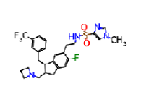 Cn1cnc(S(=O)(=O)NCCc2cc3c(cc2F)CC(CN2CCC2)C3Cc2cccc(C(F)(F)F)c2)c1